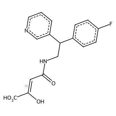 O=C(/C=C(\O)C(=O)O)NCC(c1ccc(F)cc1)c1cccnc1